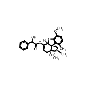 COc1ccc(C)c2c1O[C@H]1C(OC(=O)[C@H](O)c3ccccc3)=CC[C@@]3(O)[C@@H](C)N(C)CC[C@]213